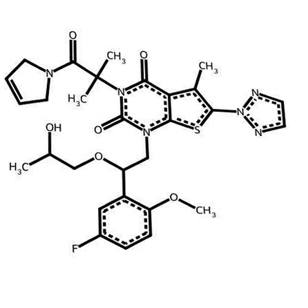 COc1ccc(F)cc1C(Cn1c(=O)n(C(C)(C)C(=O)N2CC=CC2)c(=O)c2c(C)c(-n3nccn3)sc21)OCC(C)O